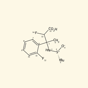 CC(N[S@+]([O-])C(C)(C)C)(c1ccccc1F)C(F)C(=O)O